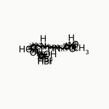 Br.Br.CS(=O)(=O)Nc1ccc(CCNCCCCCCNCCc2ccc(O)c(O)c2CCc2cccc(O)c2)cc1